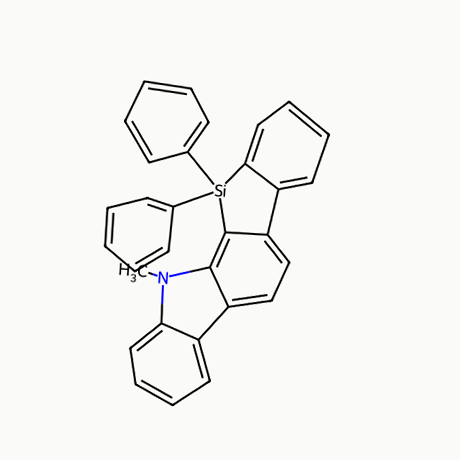 Cn1c2ccccc2c2ccc3c(c21)[Si](c1ccccc1)(c1ccccc1)c1ccccc1-3